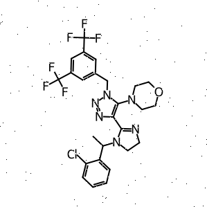 CC(c1ccccc1Cl)N1CCN=C1c1nnn(Cc2cc(C(F)(F)F)cc(C(F)(F)F)c2)c1N1CCOCC1